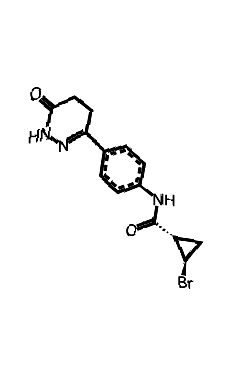 O=C1CCC(c2ccc(NC(=O)[C@@H]3C[C@H]3Br)cc2)=NN1